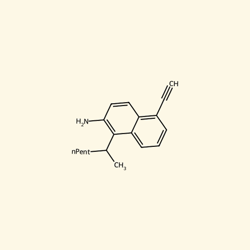 C#Cc1cccc2c(C(C)CCCCC)c(N)ccc12